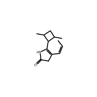 C/C=C\C1=C(C2C(C)CC2C)NC(=O)C1